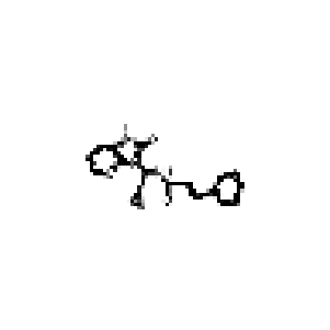 O=C(C=Cc1ccccc1)NC(C1CC1)n1c(=S)[nH]c2cccnc21